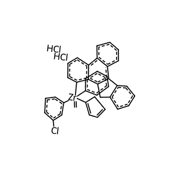 Cl.Cl.[CH2]=[Zr]([C]1=CC=CC1)([c]1ccccc1)([c]1cccc(Cl)c1)[c]1cccc2c1c1c(c3ccccc32)-c2ccccc2C1